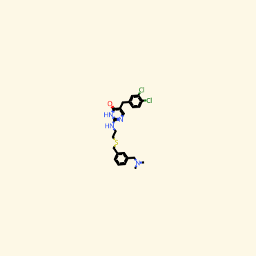 CN(C)Cc1cccc(CSCCNc2ncc(Cc3ccc(Cl)c(Cl)c3)c(=O)[nH]2)c1